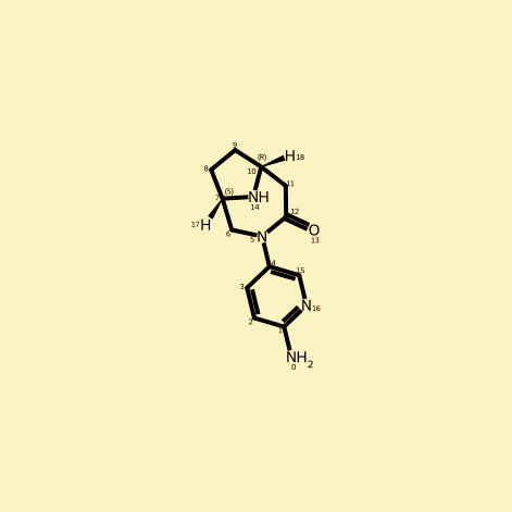 Nc1ccc(N2C[C@@H]3CC[C@H](CC2=O)N3)cn1